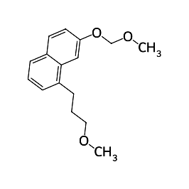 COCCCc1cccc2ccc(OCOC)cc12